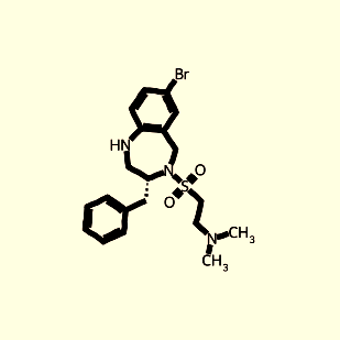 CN(C)CCS(=O)(=O)N1Cc2cc(Br)ccc2NC[C@H]1Cc1ccccc1